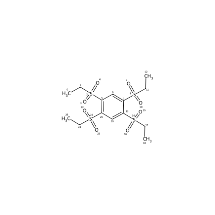 CCS(=O)(=O)c1cc(S(=O)(=O)CC)c(S(=O)(=O)CC)cc1S(=O)(=O)CC